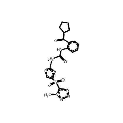 Cn1nnnc1S(=O)(=O)c1cnc(NC(=O)Nc2ccccc2C(=O)C2CCCC2)s1